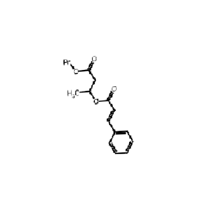 CC(C)OC(=O)CC(C)OC(=O)C=Cc1ccccc1